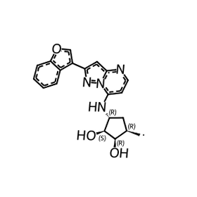 [CH2][C@@H]1C[C@@H](Nc2ccnc3cc(-c4coc5ccccc45)nn23)[C@H](O)[C@@H]1O